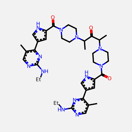 CCNc1ncc(C)c(-c2c[nH]c(C(=O)N3CCN(C(C)C(=O)C(C)N4CCN(C(=O)c5cc(-c6nc(NCC)ncc6C)c[nH]5)CC4)CC3)c2)n1